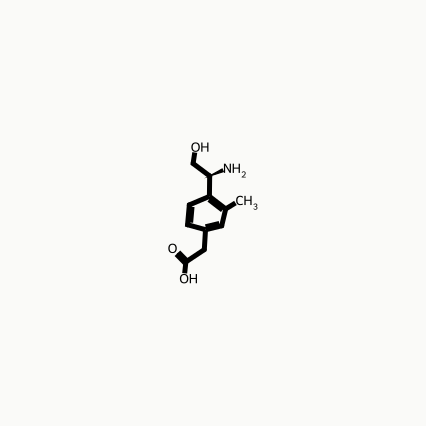 Cc1cc(CC(=O)O)ccc1[C@H](N)CO